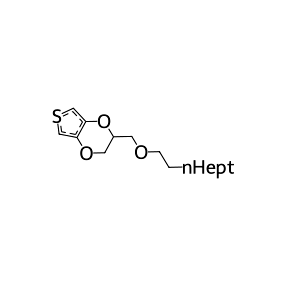 CCCCCCCCCOCC1COc2cscc2O1